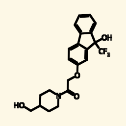 O=C(COc1ccc2c(c1)C(O)(C(F)(F)F)c1ccccc1-2)N1CCC(CO)CC1